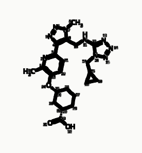 Cc1nc(-c2nnn(C)c2CNc2nnnn2CC2CC2)ccc1O[C@H]1CCC[C@H](C(=O)O)C1